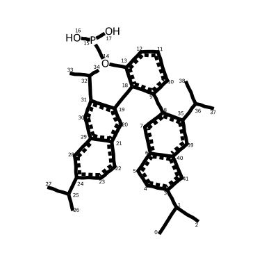 CC(C)c1ccc2cc(-c3cccc(OP(O)O)c3-c3cc4ccc(C(C)C)cc4cc3C(C)C)c(C(C)C)cc2c1